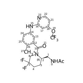 CC(=O)NC[C@H]1CCC(F)(F)CN1C(=O)c1cc(Nc2cc(OC(F)(F)F)ccn2)ccc1C